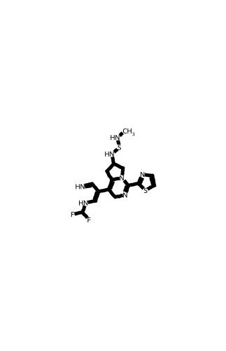 CNSNC1CC2=C(/C(C=N)=C/NC(F)F)CN=C(c3nccs3)N2C1